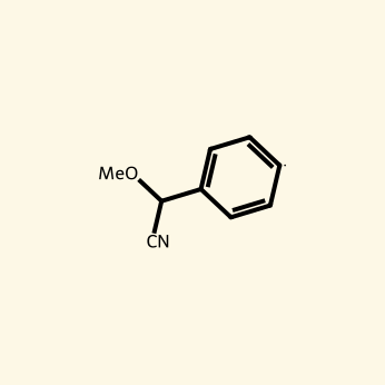 COC(C#N)c1cc[c]cc1